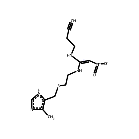 C#CCCN/C(=C/[N+](=O)[O-])NCCSCc1[nH]cnc1C